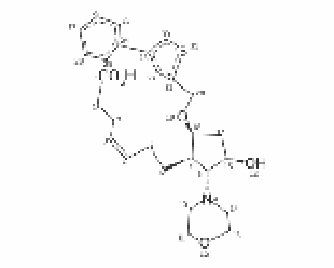 O=C(O)CC/C=C\CC[C@@H]1[C@@H](N2CCOCC2)[C@H](O)C[C@@H]1OCc1cc(-c2ccccc2)cs1